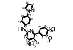 COc1cc(-c2nc(Nc3ccc(-n4cccn4)cc3)nc(N)c2C)ccc1Cl